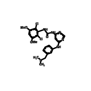 COc1cc(OC)c(Cl)c(NC(=O)Nc2cc(Nc3cccc(CN(C)C)c3)ncn2)c1Cl